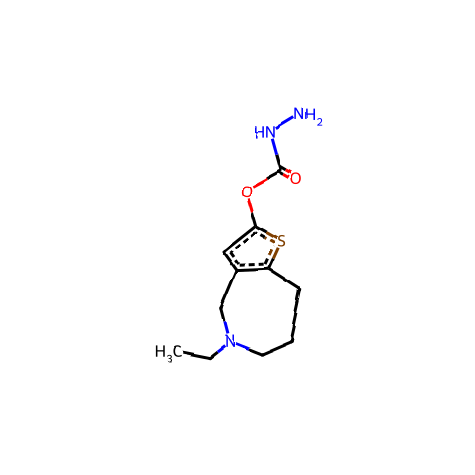 CCN1CCCc2sc(OC(=O)NN)cc2C1